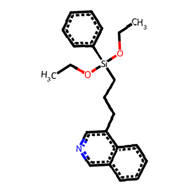 CCO[Si](CCCc1cncc2ccccc12)(OCC)c1ccccc1